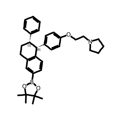 CC1(C)OB(c2ccc3c(c2)CC[C@H](c2ccccc2)[C@@H]3c2ccc(OCCN3CCCC3)cc2)OC1(C)C